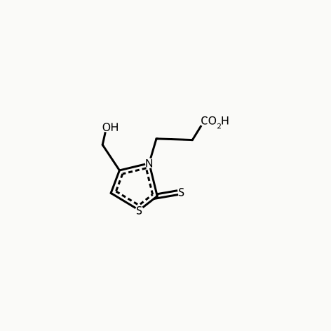 O=C(O)CCn1c(CO)csc1=S